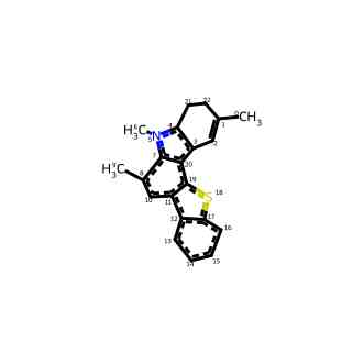 CC1=Cc2c(n(C)c3c(C)cc4c5ccccc5sc4c23)CC1